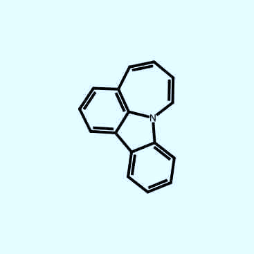 C1=Cc2cccc3c4ccccc4n(c23)C=C1